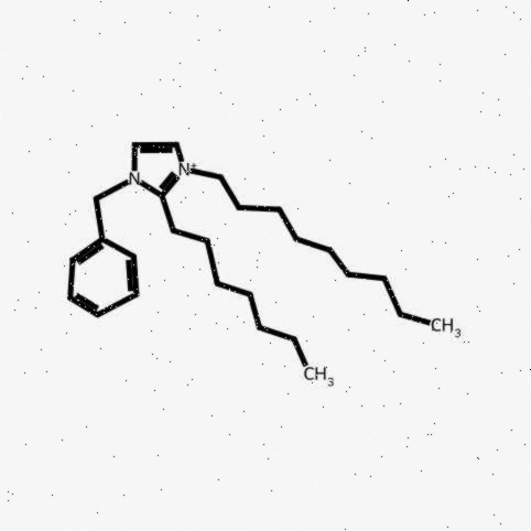 CCCCCCCCC[n+]1ccn(Cc2ccccc2)c1CCCCCCC